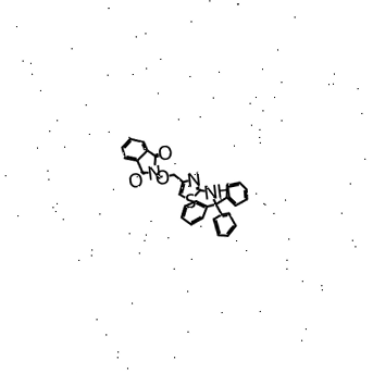 O=C1c2ccccc2C(=O)N1OCc1csc(NC(c2ccccc2)(c2ccccc2)c2ccccc2)n1